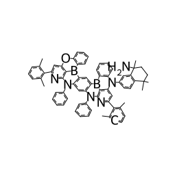 Cc1cccc(C)c1-c1cc2c3c(n1)N(c1ccccc1)c1cc4c(cc1B3c1ccccc1O2)B1c2ccccc2N(c2ccc3c(c2)C(C)(N)CCC3(C)C)c2cc(-c3c(C)cccc3C)nc(c21)N4c1ccccc1